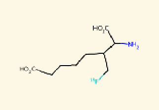 NC(C(=O)O)C(C[18F])CCCCC(=O)O